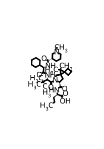 CCC[C@@H](NC(=O)[C@@H]1CC2(CN1C(=O)[C@H](NC(=O)[C@@H](NC(=O)[C@H]1CCCN(C)C1)C1CCCCC1)C(C)(C)C)C(C)(C)C21CCC1)C(=O)O